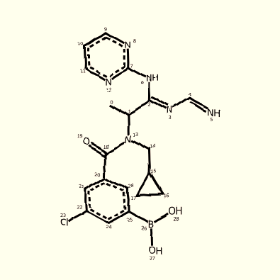 CC(/C(=N/C=N)Nc1ncccn1)N(CC1CC1)C(=O)c1cc(Cl)cc(B(O)O)c1